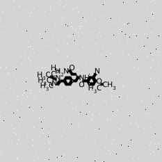 CC(C)Oc1ccc(C(=O)N[C@H](CCC(N)=O)Cc2ccc(-c3cn(C)c(C(C)(C)C)n3)cc2)cc1C#N